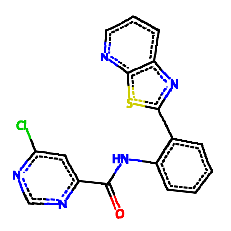 O=C(Nc1ccccc1-c1nc2cccnc2s1)c1cc(Cl)ncn1